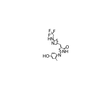 Cc1cc(O)ccc1/N=C1/NC(=O)/C(=C/c2cnc(NCC(F)(F)F)s2)S1